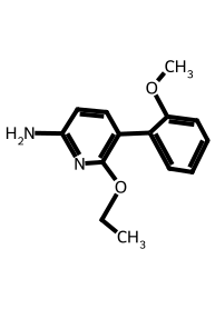 CCOc1nc(N)ccc1-c1ccccc1OC